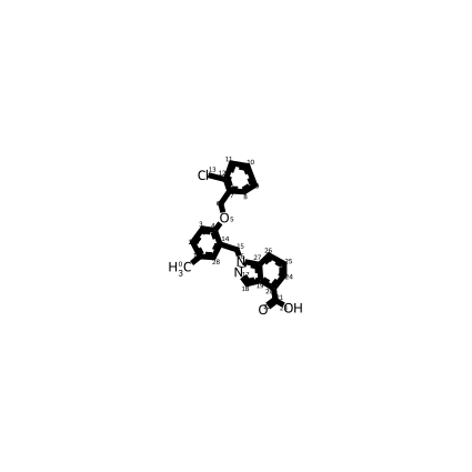 Cc1ccc(OCc2ccccc2Cl)c(Cn2ncc3c(C(=O)O)cccc32)c1